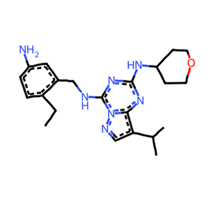 CCc1ccc(N)cc1CNc1nc(NC2CCOCC2)nc2c(C(C)C)cnn12